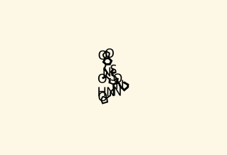 O=C1C(=Cc2c(NCC3CCCO3)nc3ccccn3c2=O)SC(=S)N1Cc1ccc2c(c1)OCO2